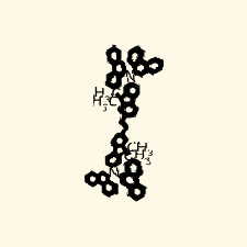 CC1(C)c2cc(/C=C/c3ccc4c(c3)C(C)(C)c3cc(N(c5cc6ccccc6c6ccccc56)c5cc6ccccc6c6ccccc56)ccc3-4)ccc2-c2ccc(N(c3cc4ccccc4c4ccccc34)c3cc4ccccc4c4ccccc34)cc21